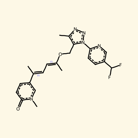 C/C(=C\C=C(/C)c1ccc(=O)n(C)c1)OCc1c(C)nnn1-c1ccc(C(F)F)cn1